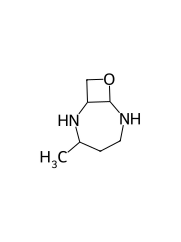 CC1CCNC2OCC2N1